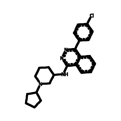 Clc1ccc(-c2nnc(NC3CCCN(C4CCCC4)C3)c3ccccc23)cc1